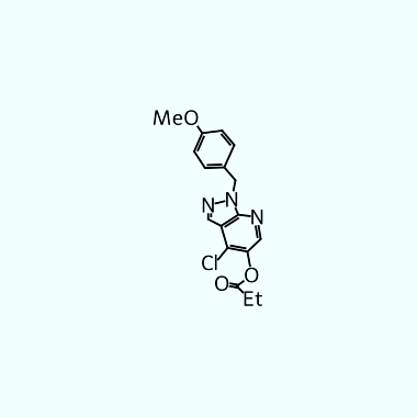 CCC(=O)Oc1cnc2c(cnn2Cc2ccc(OC)cc2)c1Cl